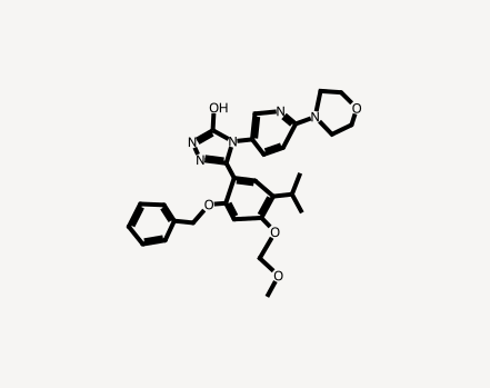 COCOc1cc(OCc2ccccc2)c(-c2nnc(O)n2-c2ccc(N3CCOCC3)nc2)cc1C(C)C